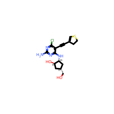 Nc1nc(Cl)c(C#CC2=CSCC2)c(N[C@@H]2C[C@H](CO)C[C@H]2O)n1